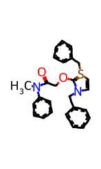 CN(C(=O)COC1=S(Cc2ccccc2)C=CN1Cc1ccccc1)c1ccccc1